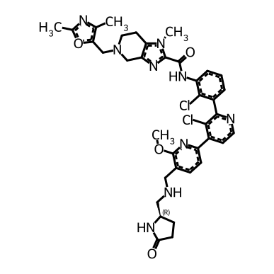 COc1nc(-c2ccnc(-c3cccc(NC(=O)c4nc5c(n4C)CCN(Cc4oc(C)nc4C)C5)c3Cl)c2Cl)ccc1CNC[C@H]1CCC(=O)N1